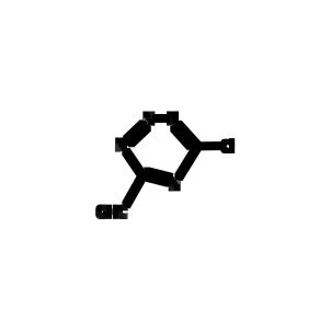 O=Cc1nnnc(Cl)n1